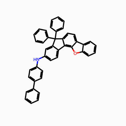 c1ccc(-c2ccc(Nc3ccc4c(c3)C(c3ccccc3)(c3ccccc3)c3ccc5c(oc6ccccc65)c3-4)cc2)cc1